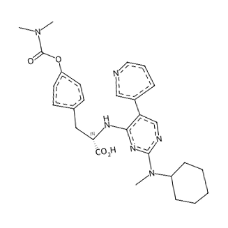 CN(C)C(=O)Oc1ccc(C[C@H](Nc2nc(N(C)C3CCCCC3)ncc2-c2cccnc2)C(=O)O)cc1